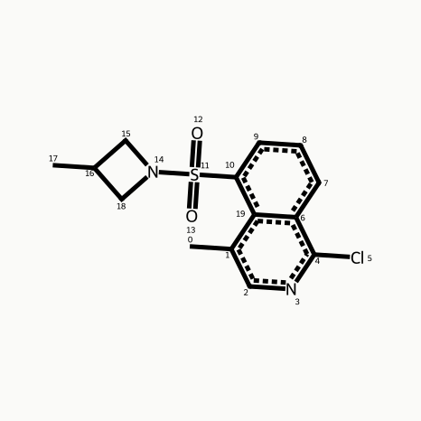 Cc1cnc(Cl)c2cccc(S(=O)(=O)N3CC(C)C3)c12